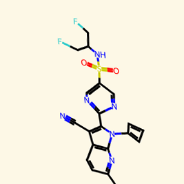 Cc1ccc2c(C#N)c(-c3ncc(S(=O)(=O)NC(CF)CF)cn3)n(C3=CC=C3)c2n1